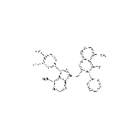 Cc1ccc(-c2nn(Cc3cc4cccc(C)c4c(=O)n3-c3ccccc3)c3ncnc(N)c23)cc1O